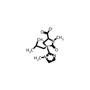 CC(C)C[N+]1(c2nccn2C)CC(C(=O)[O-])N(C)C1=O